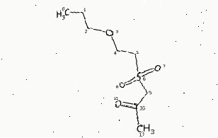 CCCOCCS(=O)(=O)CC(C)=O